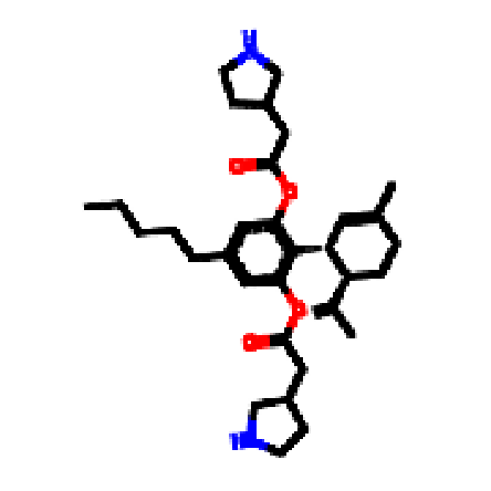 C=C(C)[C@@H]1CCC(C)=C[C@H]1c1c(OC(=O)CC2CCNC2)cc(CCCCC)cc1OC(=O)CC1CCNC1